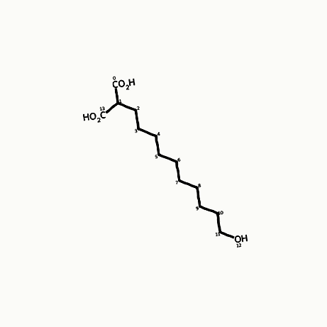 O=C(O)C(CCCCCCCCCCO)C(=O)O